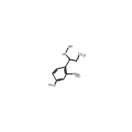 COc1ccc(C(CC(=O)O)NC(C)(C)C)c(OC)c1.Cl